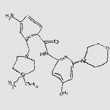 Cc1cc(NC(=O)c2ccc(N)cc2N2CC[Si](C)(C)CC2)nc(N2CCOCC2)c1